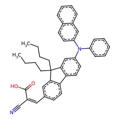 CCCCC1(CCCC)c2cc(C=C(C#N)C(=O)O)ccc2-c2ccc(N(c3ccccc3)c3ccc4ccccc4c3)cc21